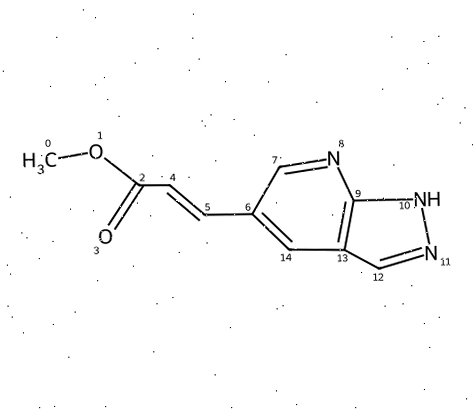 COC(=O)/C=C/c1cnc2[nH]ncc2c1